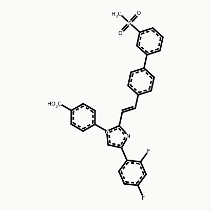 CS(=O)(=O)c1cccc(-c2ccc(C=Cc3nc(-c4ccc(F)cc4F)cn3-c3ccc(C(=O)O)cc3)cc2)c1